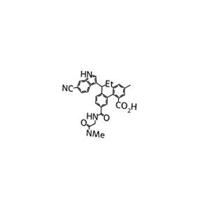 CCC(c1ccc(C(=O)NCC(=O)NC)cc1-c1ccc(C)cc1C(=O)O)c1c[nH]c2cc(C#N)ccc12